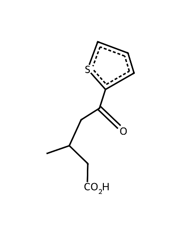 CC(CC(=O)O)CC(=O)c1cccs1